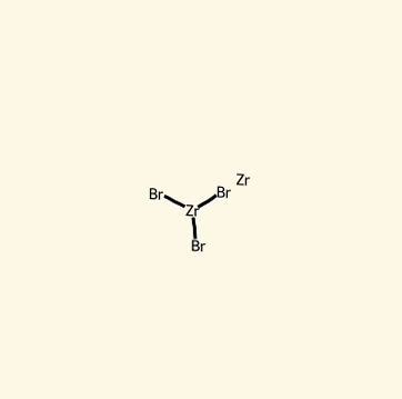 [Br][Zr]([Br])[Br].[Zr]